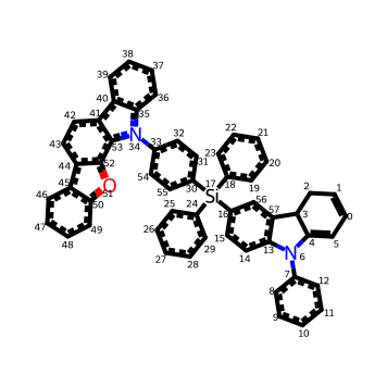 C1=CCC2C(=C1)N(c1ccccc1)c1ccc([Si](c3ccccc3)(c3ccccc3)c3ccc(-n4c5ccccc5c5ccc6c7ccccc7oc6c54)cc3)cc12